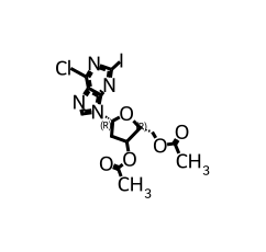 CC(=O)OC[C@H]1O[C@@H](n2cnc3c(Cl)nc(I)nc32)CC1OC(C)=O